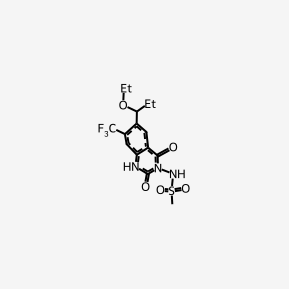 CCOC(CC)c1cc2c(=O)n(NS(C)(=O)=O)c(=O)[nH]c2cc1C(F)(F)F